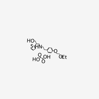 CCOCCOc1ccc(CCNCC(CO)c2cccs2)cc1.O=C(O)C(=O)O